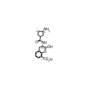 C[C@H]1CC(C(=O)N[C@H]2Cc3cccc(C(=O)O)c3OB2O)C[C@@H]1N